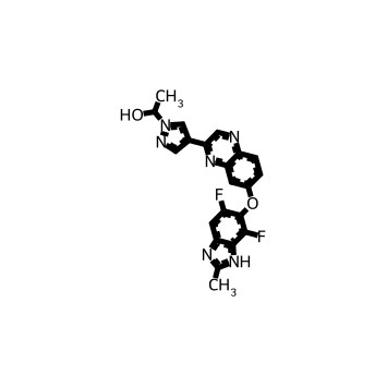 Cc1nc2cc(F)c(Oc3ccc4ncc(-c5cnn(C(C)O)c5)nc4c3)c(F)c2[nH]1